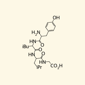 CCC(C)C(NC(=O)C(N)Cc1ccc(O)cc1)C(=O)NC(CC(C)C)C(=O)NCC(=O)O